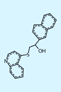 OC(CSc1ccnc2ccccc12)c1ccc2ccccc2c1